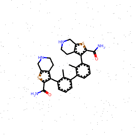 Cc1c(-c2cccc(-c3c(C(N)=O)sc4c3CCNC4)c2C)cccc1-c1c(C(N)=O)sc2c1CCNC2